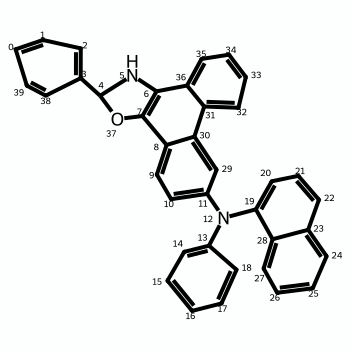 c1ccc(C2Nc3c(c4ccc(N(c5ccccc5)c5cccc6ccccc56)cc4c4ccccc34)O2)cc1